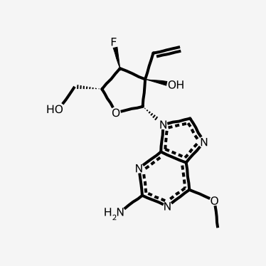 C=C[C@@]1(O)[C@H](F)[C@@H](CO)O[C@H]1n1cnc2c(OC)nc(N)nc21